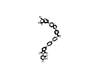 N#Cc1ncc(N2CCC3(CC2)CCN(c2ccc(C(=O)N4CCN(C5CCN(c6ccc7c(c6)C(=O)N(C6CCC(=O)NC6=O)C7=O)CC5)CC4)cc2)C3)cc1C(F)(F)F